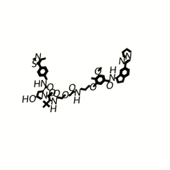 COc1cc(C(=O)N[C@@H]2CCc3ccc(-c4cn5c(n4)CCC5)cc32)cc(OCCCNC(=O)COCC(=O)N[C@H](C(=O)N2C[C@H](O)C[C@H]2C(=O)NCc2ccc(-c3scnc3C)cc2)C(C)(C)C)c1C